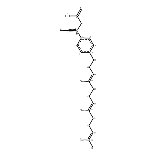 C=C(O)C[SH](#CC)c1ccc(CC/C=C(\C)CC/C=C(\C)CCC=C(C)C)cc1